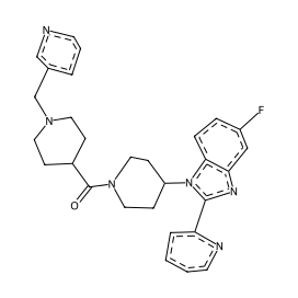 O=C(C1CCN(Cc2cccnc2)CC1)N1CCC(n2c(-c3ccccn3)nc3cc(F)ccc32)CC1